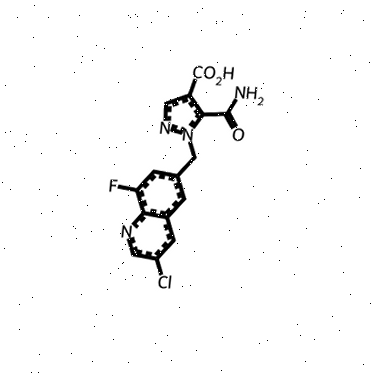 NC(=O)c1c(C(=O)O)cnn1Cc1cc(F)c2ncc(Cl)cc2c1